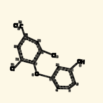 Oc1cccc(Oc2c(Cl)cc(C(Cl)(Cl)Cl)cc2Cl)c1